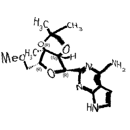 COC[C@H]1O[C@H](c2nc(N)c3cc[nH]c3n2)[C@H]2OC(C)(C)O[C@@]21C